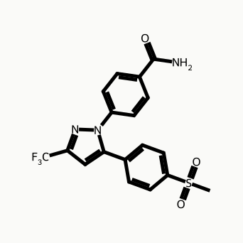 CS(=O)(=O)c1ccc(-c2cc(C(F)(F)F)nn2-c2ccc(C(N)=O)cc2)cc1